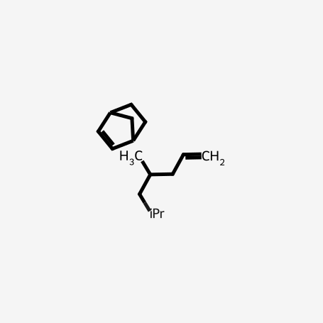 C1=CC2CCC1C2.C=CCC(C)CC(C)C